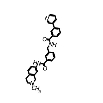 CN1CCc2ccc(NC(=O)c3cccc(CNC(=O)c4cccc(-c5cccnc5)c4)c3)cc2C1